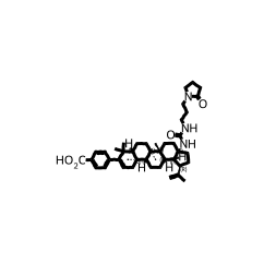 C=C(C)[C@@H]1CC[C@]2(NC(=O)NCCCN3CCCC3=O)CC[C@]3(C)[C@H](CC[C@@H]4[C@@]5(C)CC=C(c6ccc(C(=O)O)cc6)C(C)(C)[C@@H]5CC[C@]43C)[C@@H]12